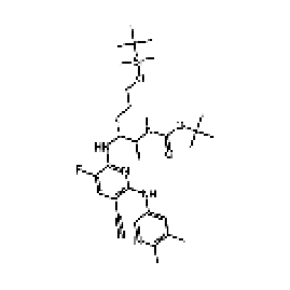 Cc1cc(Nc2nc(N[C@H](CCCO[Si](C)(C)C(C)(C)C)[C@H](C)NC(=O)OC(C)(C)C)c(F)cc2C#N)cnc1C